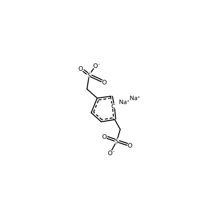 O=S(=O)([O-])Cc1ccc(CS(=O)(=O)[O-])cc1.[Na+].[Na+]